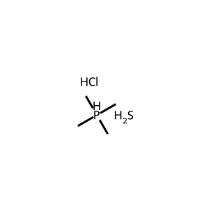 C[PH](C)(C)C.Cl.S